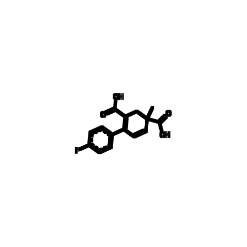 CC1(C(=O)O)C=CC(c2ccc(F)cc2)=C(C(=O)O)C1